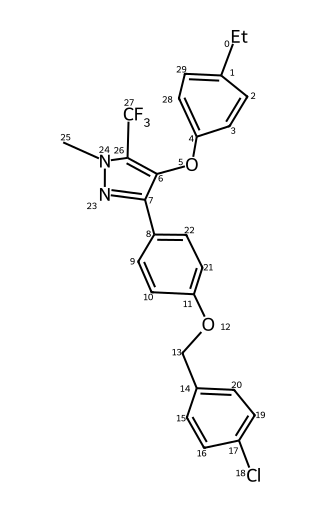 CCc1ccc(Oc2c(-c3ccc(OCc4ccc(Cl)cc4)cc3)nn(C)c2C(F)(F)F)cc1